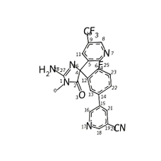 CN1C(=O)C(c2cncc(C(F)(F)F)c2)(c2cc(-c3cncc(C#N)c3)ccc2F)N=C1N